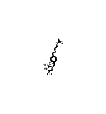 CC(=O)OCCSCc1ccc(CN2CC(O)NS2(O)O)cc1